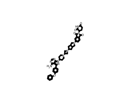 Nc1ncnc2c1c(-c1ccc(Oc3ccccc3)cc1)nn2C1CCN(C2CN(C3CC4CN(c5ccc6c(c5)C(=O)N(C5CCC(=O)NC5=O)C6=O)CC4C3)C2)CC1